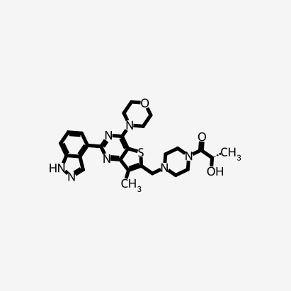 Cc1c(CN2CCN(C(=O)[C@H](C)O)CC2)sc2c(N3CCOCC3)nc(-c3cccc4[nH]ncc34)nc12